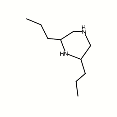 CCCC1CNCC(CCC)N1